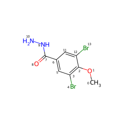 COc1c(Br)cc(C(=O)NN)cc1Br